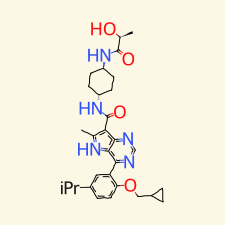 Cc1[nH]c2c(-c3cc(C(C)C)ccc3OCC3CC3)ncnc2c1C(=O)N[C@H]1CC[C@H](NC(=O)[C@H](C)O)CC1